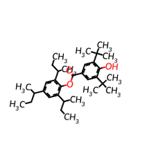 CCC(C)c1cc(C(C)CC)c(OC(=O)c2cc(C(C)(C)C)c(O)c(C(C)(C)C)c2)c(C(C)CC)c1